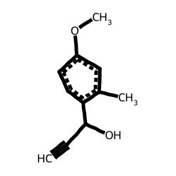 C#CC(O)c1ccc(OC)cc1C